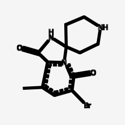 Cc1cc(Br)c(=O)n2c1C(=O)NC21CCNCC1